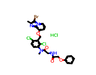 Cc1nc2c(OCc3c(Cl)ccc(N(C)C(=O)CNC(=O)COc4ccccc4)c3Cl)cccn2c1Br.Cl